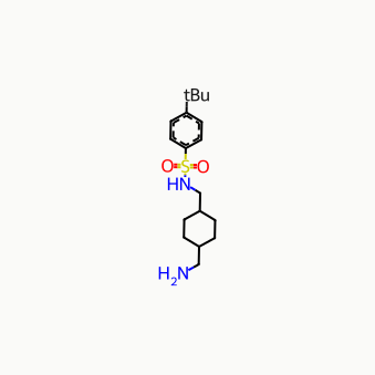 CC(C)(C)c1ccc(S(=O)(=O)NCC2CCC(CN)CC2)cc1